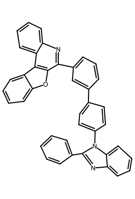 c1ccc(-c2nc3ccccc3n2-c2ccc(-c3cccc(-c4nc5ccccc5c5c4oc4ccccc45)c3)cc2)cc1